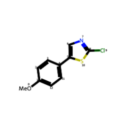 COc1ccc(-c2cnc(Cl)s2)cc1